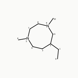 CCC1CCN(C)CCN(C)C1